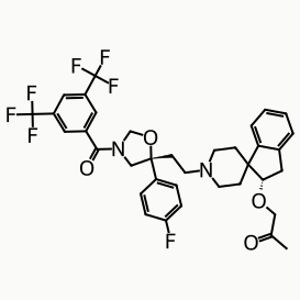 CC(=O)CO[C@H]1Cc2ccccc2C12CCN(CC[C@@]1(c3ccc(F)cc3)CN(C(=O)c3cc(C(F)(F)F)cc(C(F)(F)F)c3)CO1)CC2